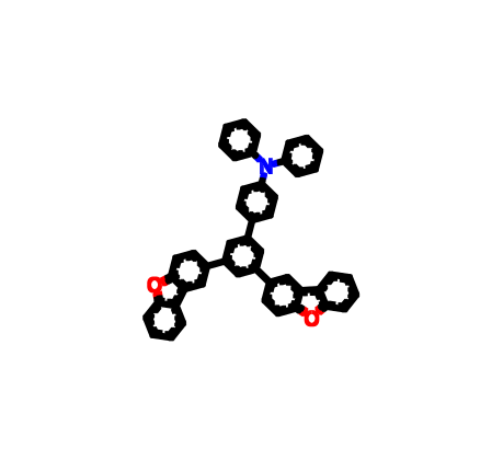 c1ccc(N(c2ccccc2)c2ccc(-c3cc(-c4ccc5oc6ccccc6c5c4)cc(-c4ccc5oc6ccccc6c5c4)c3)cc2)cc1